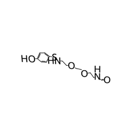 O=CNCCOCCOCCNSc1ccc(O)cc1